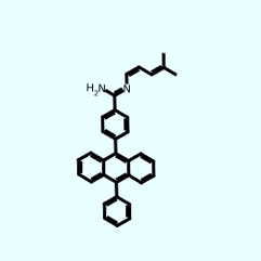 CC(C)=C/C=C\N=C(/N)c1ccc(-c2c3ccccc3c(-c3ccccc3)c3ccccc23)cc1